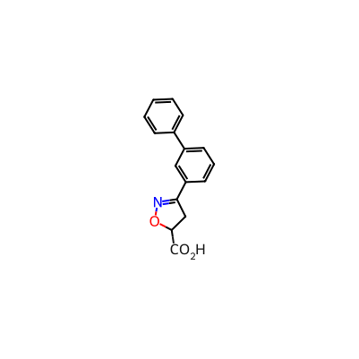 O=C(O)C1CC(c2cccc(-c3ccccc3)c2)=NO1